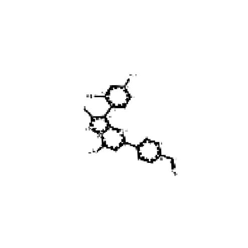 Cc1nn2c(O)cc(-c3ccc(C=O)cc3)nc2c1-c1ccc(F)cc1F